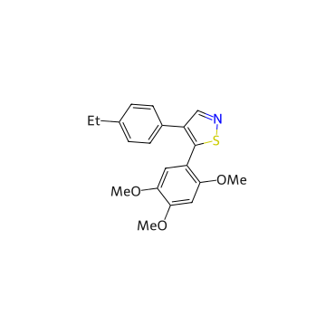 CCc1ccc(-c2cnsc2-c2cc(OC)c(OC)cc2OC)cc1